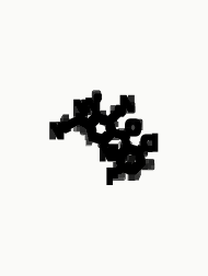 Cn1nc(C#N)c2cc(N)c(C(=O)c3cc(F)ccc3Cl)c(C#N)c21